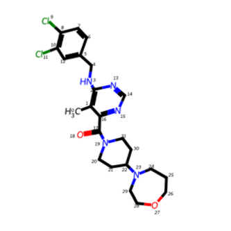 Cc1c(NCc2ccc(Cl)c(Cl)c2)ncnc1C(=O)N1CCC(N2CCCOCC2)CC1